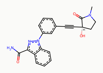 CN1CC[C@@](O)(C#Cc2cccc(-n3nc(C(N)=O)c4ccccc43)c2)C1=O